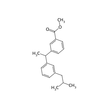 COC(=O)c1cccc(C(C)c2cccc(CC(C)C)c2)c1